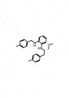 COC[C@H](Cc1ccc(C)cc1)Nc1ccccc1NCc1ccc(C)cc1